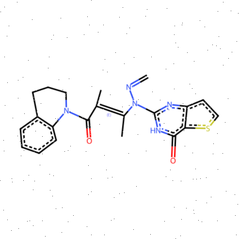 C=NN(/C(C)=C(\C)C(=O)N1CCCc2ccccc21)c1nc2ccsc2c(=O)[nH]1